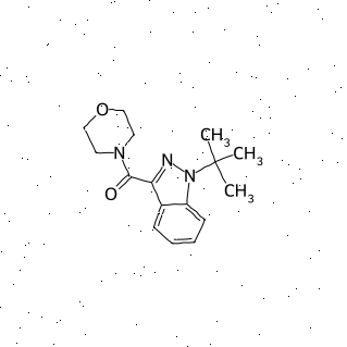 CC(C)(C)n1nc(C(=O)N2CCOCC2)c2ccccc21